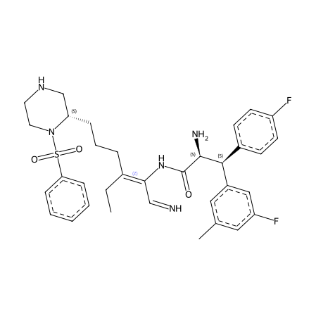 CC/C(CCC[C@H]1CNCCN1S(=O)(=O)c1ccccc1)=C(\C=N)NC(=O)[C@@H](N)[C@@H](c1ccc(F)cc1)c1cc(C)cc(F)c1